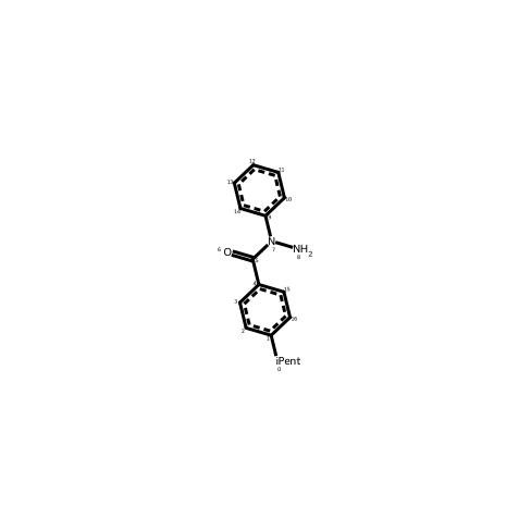 CCCC(C)c1ccc(C(=O)N(N)c2ccccc2)cc1